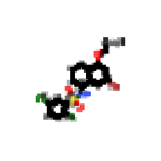 O=C(O)COc1cc(Br)cc2c1CCC[C@H]2NS(=O)(=O)c1cc(Cl)ccc1Cl